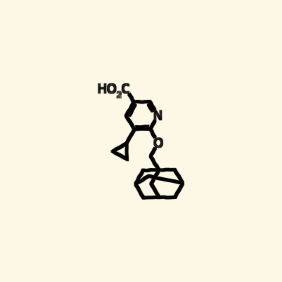 O=C(O)c1cnc(OCC23CC4CC(CC(C4)C2)C3)c(C2CC2)c1